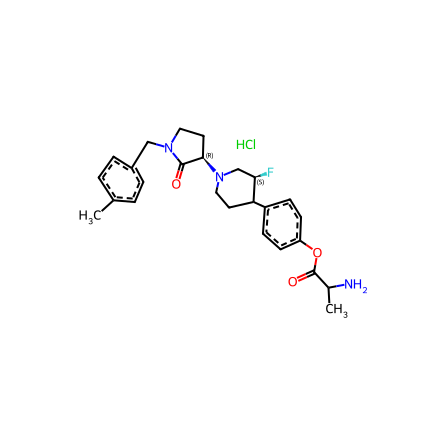 Cc1ccc(CN2CC[C@@H](N3CCC(c4ccc(OC(=O)C(C)N)cc4)[C@H](F)C3)C2=O)cc1.Cl